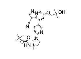 CC(C)(O)COc1cc(-c2ccc(N3CC[C@@](C)(NC(=O)OC(C)(C)C)C3)nc2)c2c(C#N)cnn2c1